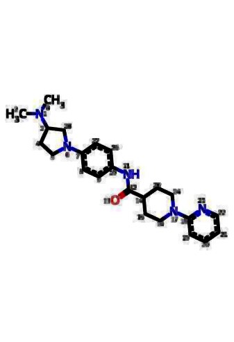 CN(C)C1CCN(c2ccc(NC(=O)C3CCN(c4ccccn4)CC3)cc2)C1